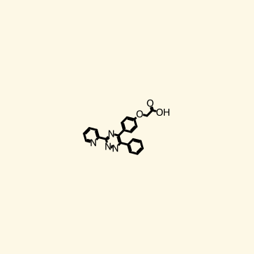 O=C(O)COc1ccc(-c2nc(-c3ccccn3)nnc2-c2ccccc2)cc1